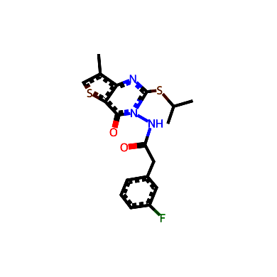 Cc1csc2c(=O)n(NC(=O)Cc3cccc(F)c3)c(SC(C)C)nc12